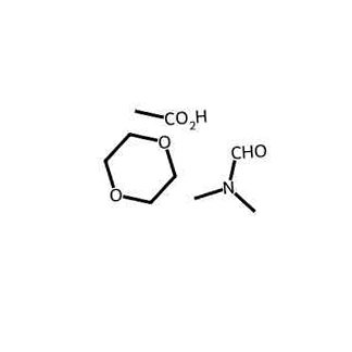 C1COCCO1.CC(=O)O.CN(C)C=O